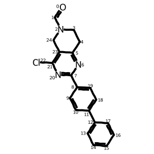 O=CN1CCc2nc(-c3ccc(-c4ccccc4)cc3)nc(Cl)c2C1